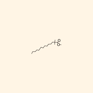 CCCCCCCCCCCCC(C)(C)C(=O)OC